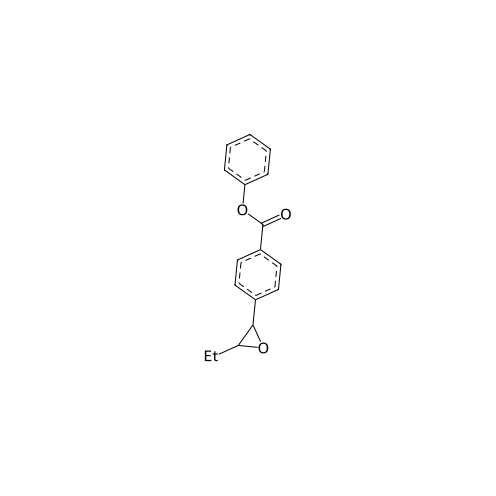 CCC1OC1c1ccc(C(=O)Oc2ccccc2)cc1